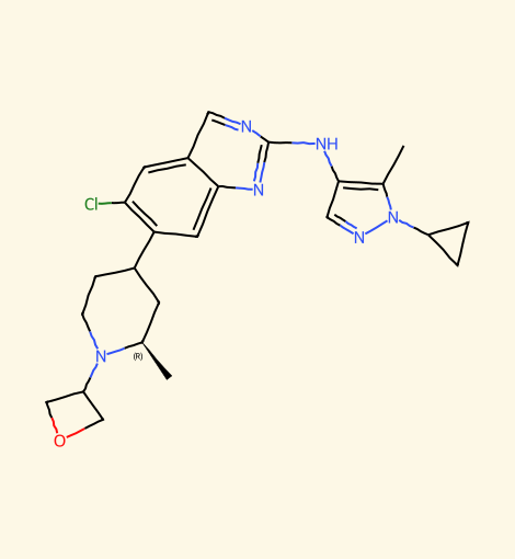 Cc1c(Nc2ncc3cc(Cl)c(C4CCN(C5COC5)[C@H](C)C4)cc3n2)cnn1C1CC1